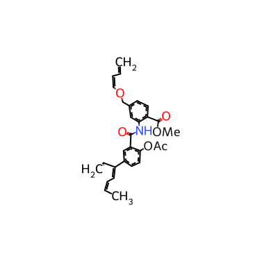 C=C/C=C\OCc1ccc(C(=O)OC)c(NC(=O)c2cc(/C(C=C)=C/C=C\C)ccc2OC(C)=O)c1